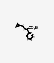 CCOC(=O)C(CCC1CC1)c1ccccn1